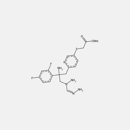 COC(=O)CSc1ccc(CC(N)(CN(N)/C=N\N)c2ccc(F)cc2F)nc1